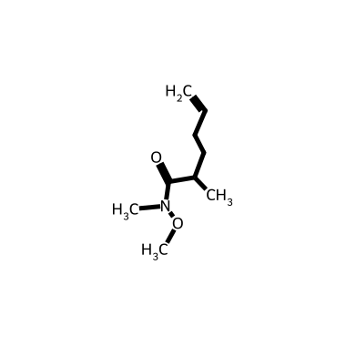 C=CCCC(C)C(=O)N(C)OC